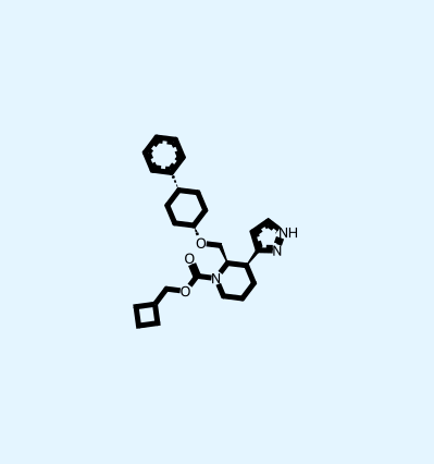 O=C(OCC1CCC1)N1CCC[C@H](c2cc[nH]n2)[C@@H]1CO[C@H]1CC[C@@H](c2ccccc2)CC1